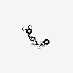 CC(C)C(CN1CCN(Cc2ccc(Cl)c(Cl)c2)CC1)Nc1nc2ccccc2s1